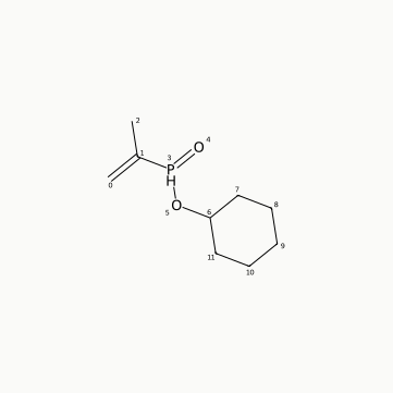 C=C(C)[PH](=O)OC1CCCCC1